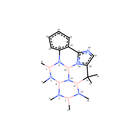 CB1N(C)B2N(C)B(C)N3B4N2B(N1C)C(C)(C)c1cnc(n14)-c1ccccc13